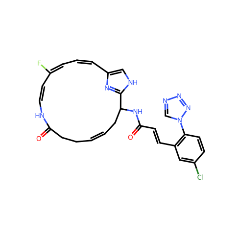 O=C(C=Cc1cc(Cl)ccc1-n1cnnn1)NC1CC=CCCC(=O)NC=CC(F)=CC=Cc2c[nH]c1n2